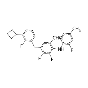 Cc1ccc(Nc2c(C=O)cc(Cc3cccc(C4CCC4)c3F)c(F)c2F)c(F)c1